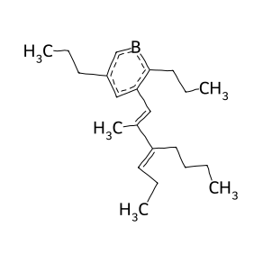 CC/C=C(CCCC)/C(C)=C/c1cc(CCC)cbc1CCC